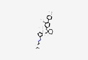 CC(C)OC(=O)/C=C/c1ccc(F)c(NC(=O)C2(Cc3ccc(-c4ccc(N(C)C)cc4)c(C#N)c3)CCCCC2)c1